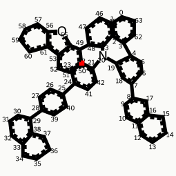 c1ccc(-c2ccc(-c3ccc4ccccc4c3)cc2N(c2ccc(-c3ccc(-c4cccc5ccccc45)cc3)cc2)c2ccccc2-c2cccc3c2oc2ccccc23)cc1